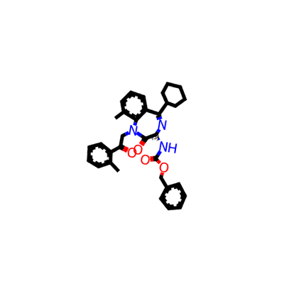 Cc1ccccc1C(=O)CN1C(=O)[C@@H](NC(=O)OCc2ccccc2)N=C(C2CCCCC2)c2cccc(C)c21